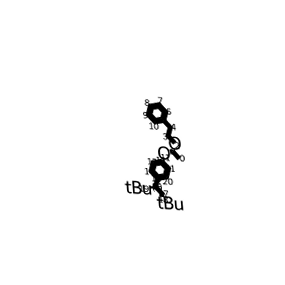 CC(OCCc1ccccc1)Oc1ccc([C@@H](CC(C)(C)C)C(C)(C)C)cc1